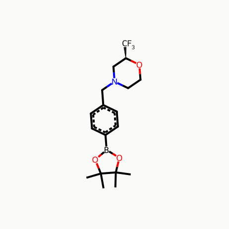 CC1(C)OB(c2ccc(CN3CCO[C@H](C(F)(F)F)C3)cc2)OC1(C)C